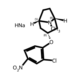 CN1[C@@H]2CC[C@H]1C[C@@H](Oc1ccc([N+](=O)[O-])cc1Cl)C2.[NaH]